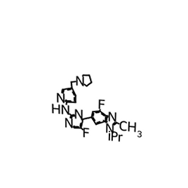 Cc1nc2c(F)cc(-c3nc(Nc4ccc(CN5CCCC5)cn4)ncc3F)cc2n1C(C)C